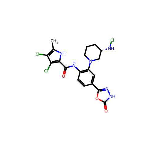 Cc1[nH]c(C(=O)Nc2ccc(-c3n[nH]c(=O)o3)cc2N2CCC[C@H](NCl)C2)c(Cl)c1Cl